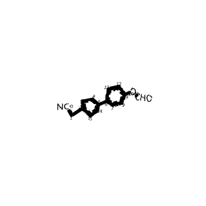 N#CCc1ccc(-c2ccc(OC=O)cc2)cc1